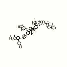 CC1(C)CCC(CN2CCN(c3ccc(C(=O)NS(=O)(=O)c4ccc(NCC5CN(C(=O)OC(C)(C)C)CCO5)c(S(=O)(=O)C(F)(F)F)c4)c(Oc4cnc5[nH]ccc5c4)c3)CC2)=C(c2ccc(Cl)cc2)C1